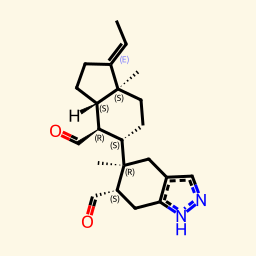 C/C=C1\CC[C@H]2[C@H](C=O)[C@@H]([C@@]3(C)Cc4cn[nH]c4C[C@@H]3C=O)CC[C@]12C